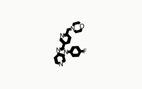 Fc1ccc(-n2c(-c3ccc(CN4CCOCC4)nc3)nc3ccncc32)cc1